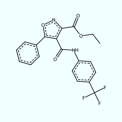 CCOC(=O)c1noc(-c2ccccc2)c1C(=O)Nc1ccc(C(F)(F)F)cc1